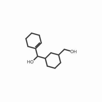 OCC1CCCC(C(O)C2=CCCCC2)C1